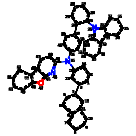 c1cc(-c2ccc3ccccc3c2)cc(N(c2ccc(-c3ccccc3-n3c4ccccc4c4ccccc43)cc2)c2ccc3c(n2)oc2ccccc23)c1